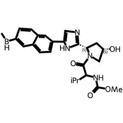 CBc1ccc2cc(-c3cnc([C@@H]4C[C@H](O)CN4C(=O)C(NC(=O)OC)C(C)C)[nH]3)ccc2c1